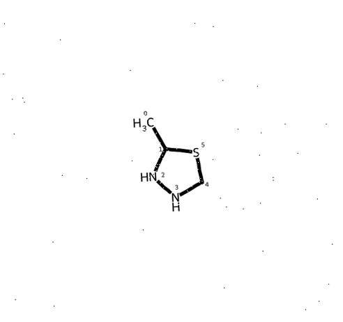 CC1NNCS1